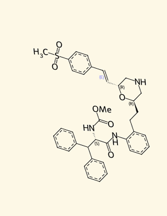 COC(=O)N[C@H](C(=O)Nc1ccccc1CC[C@@H]1CNC[C@@H](/C=C/c2ccc(S(C)(=O)=O)cc2)O1)C(c1ccccc1)c1ccccc1